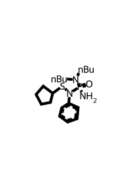 CCCCN(CCCC)P(N)(=O)N(SC1CCCC1)c1ccccc1